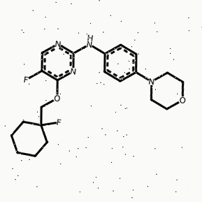 Fc1cnc(Nc2ccc(N3CCOCC3)cc2)nc1OCC1(F)CCCCC1